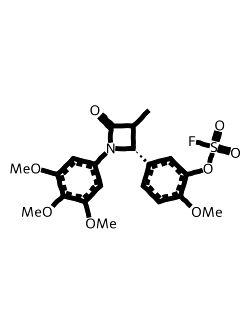 COc1ccc([C@H]2C(C)C(=O)N2c2cc(OC)c(OC)c(OC)c2)cc1OS(=O)(=O)F